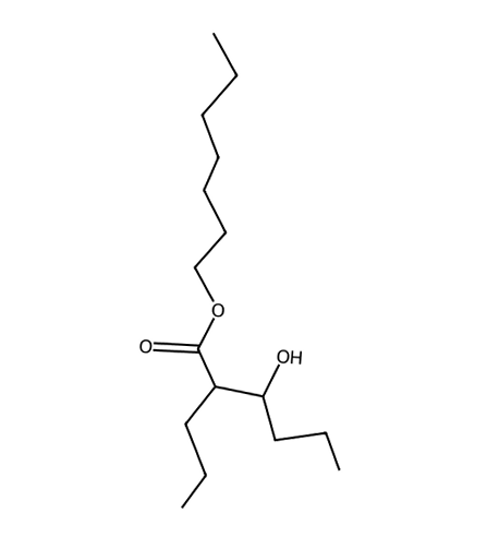 CCCCCCCOC(=O)C(CCC)C(O)CCC